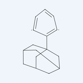 [c]1ccc[c]c1C12CC3CC(CC(C3)C1)C2